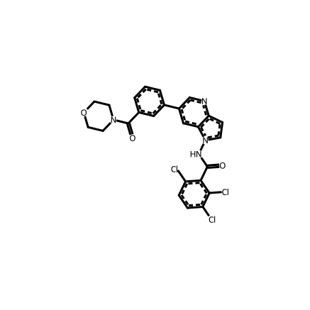 O=C(Nn1ccc2ncc(-c3cccc(C(=O)N4CCOCC4)c3)cc21)c1c(Cl)ccc(Cl)c1Cl